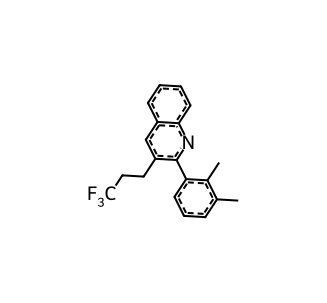 Cc1cccc(-c2nc3ccccc3cc2CCC(F)(F)F)c1C